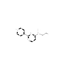 OCCNc1ccnc(-c2ccncc2)n1